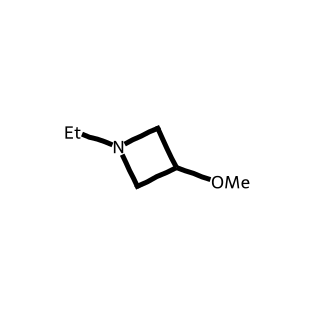 [CH2]CN1CC(OC)C1